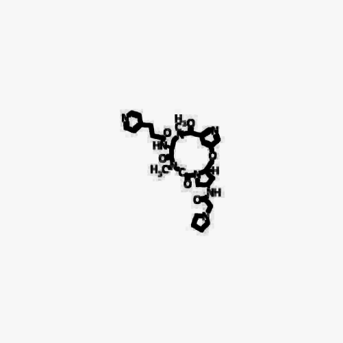 CN1C[C@H](NC(=O)CCc2ccncc2)C(=O)N(C)CC(=O)N2C[C@@H](NC(=O)CN3CCCC3)C[C@H]2COc2cncc(c2)C1=O